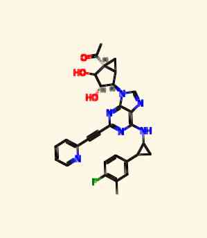 CC(=O)[C@]12CC1[C@@H](n1cnc3c(NC4CC4c4ccc(F)c(C)c4)nc(C#Cc4ccccn4)nc31)[C@H](O)C2O